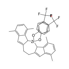 Cc1ccc(C)c2c1C=C1CCC3=Cc4c(C)ccc(C)c4[CH]3[Zr]([O]c3ccc(C(F)(F)F)cc3)([O]c3ccc(C(F)(F)F)cc3)[CH]12